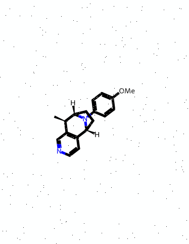 COc1ccc(N2[C@@H]3CC[C@H]2[C@H](C)c2cnccc23)cc1